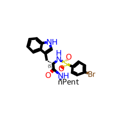 CCCCCNC(=O)[C@H](Cc1c[nH]c2ccccc12)NS(=O)(=O)c1ccc(Br)cc1